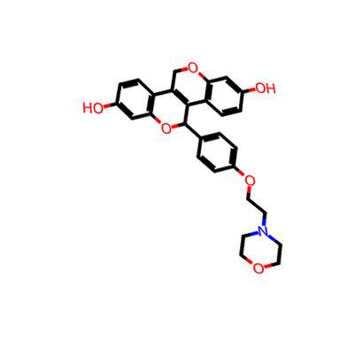 Oc1ccc2c(c1)OC(c1ccc(OCCN3CCOCC3)cc1)C1=C2COc2cc(O)ccc21